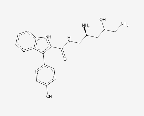 N#Cc1ccc(-c2c(C(=O)NC[C@@H](N)CC(O)CN)[nH]c3ccccc23)cc1